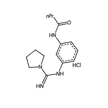 CCCC(=O)Nc1cccc(NC(=N)N2CCCC2)c1.Cl